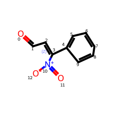 O=C/C=C(/c1ccccc1)[N+](=O)[O-]